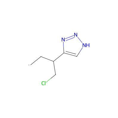 [CH2]CC(CCl)c1c[nH]nn1